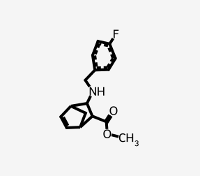 COC(=O)C1C2C=CC(C2)C1NCc1ccc(F)cc1